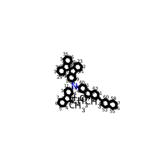 CC1(C)c2ccccc2-c2ccc(N(c3ccc4c(c3)-c3ccccc3C43c4ccccc4-c4ccccc43)c3ccc4c(c3)C(C)(C)c3cc(-c5ccc6ccccc6c5)ccc3-4)cc21